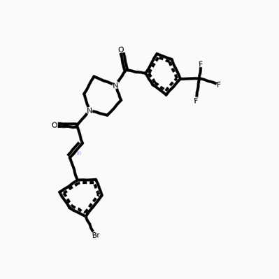 O=C(/C=C/c1ccc(Br)cc1)N1CCN(C(=O)c2ccc(C(F)(F)F)cc2)CC1